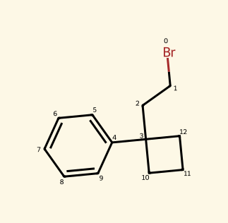 BrCCC1(c2ccccc2)CCC1